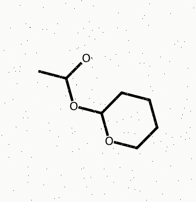 CC([O])OC1CCCCO1